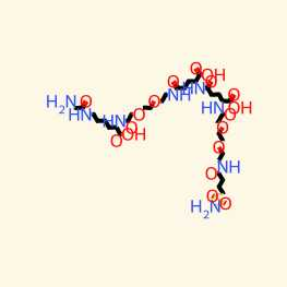 NCC(=O)NCCCCC(NC(=O)COCCOCCNC(=O)CCC(NC(=O)CCC(NC(=O)COCCOCCNC(=O)CCCS(N)(=O)=O)C(=O)O)C(=O)O)C(=O)O